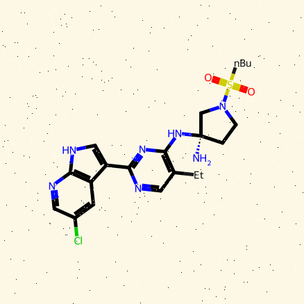 CCCCS(=O)(=O)N1CC[C@@](N)(Nc2nc(-c3c[nH]c4ncc(Cl)cc34)ncc2CC)C1